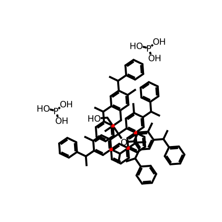 Cc1cc(CC(C)(CO)C(Oc2cc(C)c(C(C)c3ccccc3)cc2C(C)c2ccccc2)(c2cc(C)c(C(C)c3ccccc3)cc2C(C)c2ccccc2)c2cc(C)c(C(C)c3ccccc3)cc2C(C)c2ccccc2)c(C(C)c2ccccc2)cc1C(C)c1ccccc1.OP(O)O.OP(O)O